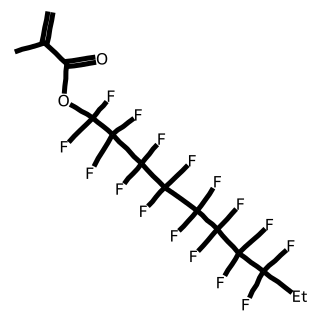 C=C(C)C(=O)OC(F)(F)C(F)(F)C(F)(F)C(F)(F)C(F)(F)C(F)(F)C(F)(F)C(F)(F)CC